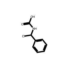 O=C(O)NC(Cl)c1ccccc1